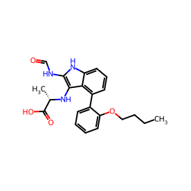 CCCCOc1ccccc1-c1cccc2[nH]c(NC=O)c(N[C@@H](C)C(=O)O)c12